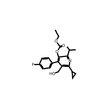 CCOC(=O)Oc1c(C(C)C)nc(C2CC2)c(CO)c1-c1ccc(F)cc1